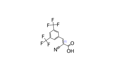 N#C/C(=C\c1cc(C(F)(F)F)cc(C(F)(F)F)c1)C(=O)O